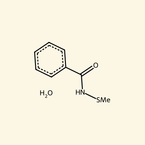 CSNC(=O)c1ccccc1.O